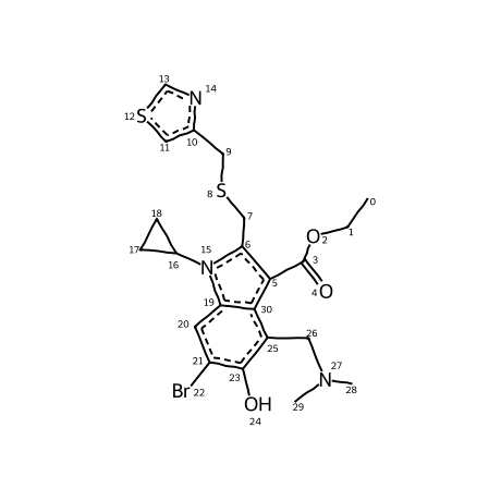 CCOC(=O)c1c(CSCc2cscn2)n(C2CC2)c2cc(Br)c(O)c(CN(C)C)c12